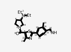 CCN(CC)C1CCN(C(=O)c2sc(-c3ccc(C=N)c(C)c3)nc2C)C1